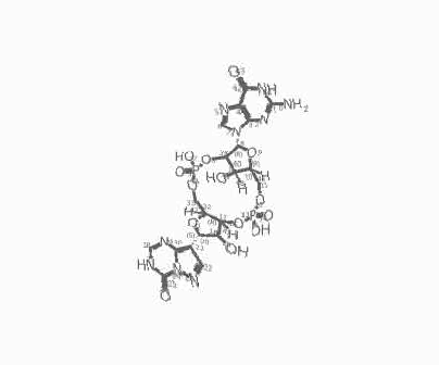 Nc1nc2c(ncn2[C@@H]2O[C@@H]3COP(=O)(O)O[C@@H]4C(O)[C@H](c5cnn6c(=O)[nH]cnc56)O[C@@H]4COP(=O)(O)OC2[C@H]3O)c(=O)[nH]1